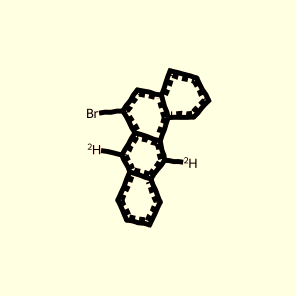 [2H]c1c2ccccc2c([2H])c2c1c(Br)cc1ccccc12